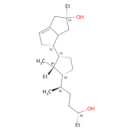 CC[C@@H](O)CC[C@@H](C)[C@H]1CC[C@@H]([C@@H]2CC=C3C[C@](O)(CC)CC32)[C@]1(C)CC